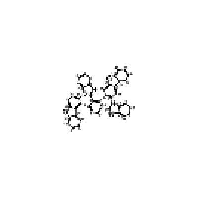 c1cc(-c2nc3ccccc3n2-c2ccc3oc4ccccc4c3c2)cc(-c2nc3ccccc3n2-c2ccc3oc4ccccc4c3c2)c1